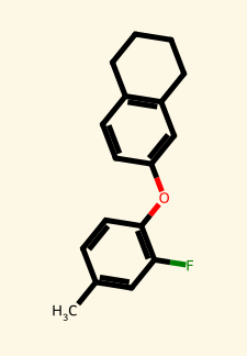 Cc1ccc(Oc2ccc3c(c2)CCCC3)c(F)c1